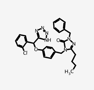 CCCCc1nn(Cc2ccccc2)c(=O)n1Cc1ccc(OC(c2nnn[nH]2)c2ccccc2Cl)cc1